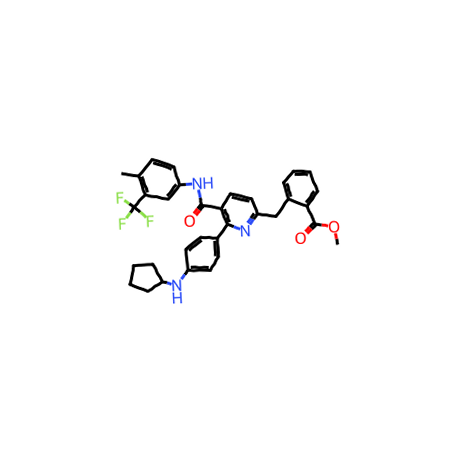 COC(=O)c1ccccc1Cc1ccc(C(=O)Nc2ccc(C)c(C(F)(F)F)c2)c(-c2ccc(NC3CCCC3)cc2)n1